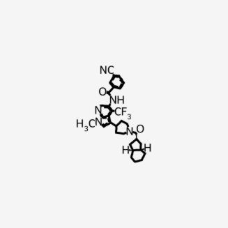 Cn1cc(C2CCN(C(=O)[C@@H]3C[C@H]4CCCC[C@H]4C3)CC2)c2c(C(F)(F)F)c(NC(=O)c3cccc(C#N)c3)cnc21